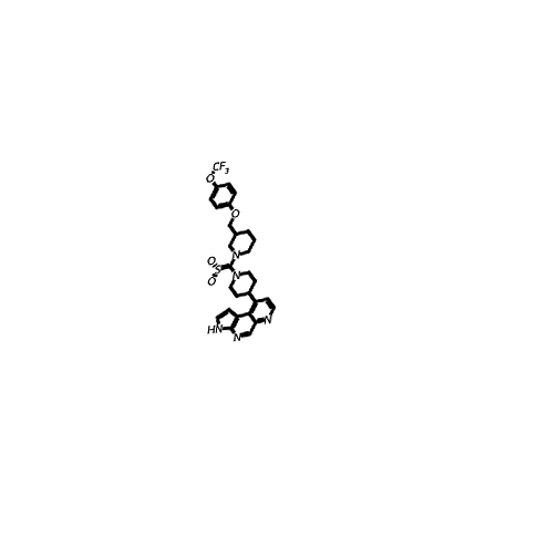 O=S(=O)=C(N1CCC(c2ccnc3cnc4[nH]ccc4c23)CC1)N1CCCC(COc2ccc(OC(F)(F)F)cc2)C1